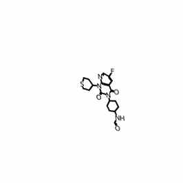 O=CNC1CCC(n2c(=O)c3cc(F)cnc3n(C3CCSCC3)c2=O)CC1